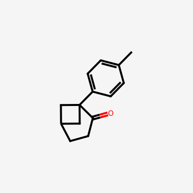 Cc1ccc(C23CC(CCC2=O)C3)cc1